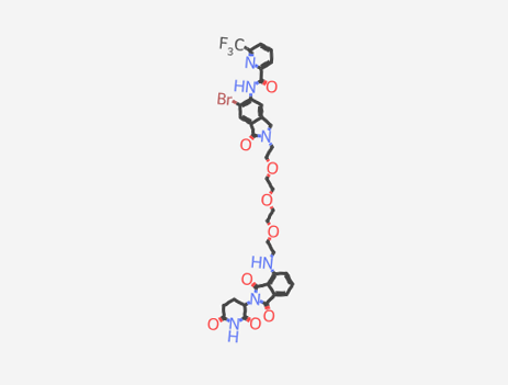 O=C1CCC(N2C(=O)c3cccc(NCCOCCOCCOCCN4Cc5cc(NC(=O)c6cccc(C(F)(F)F)n6)c(Br)cc5C4=O)c3C2=O)C(=O)N1